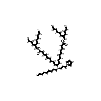 CCCCCCCCCN(CCCn1cccc1)C(CCCCCCCCC(=O)OCC(CCCC)CCCCCC)CCCCCCCCC(=O)OCC(CCCC)CCCCCC